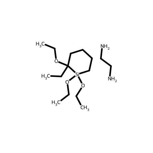 CCOC1(CC)CCCC[Si]1(OCC)OCC.NCCN